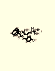 N=C(N)NCCC[C@H](C(N)=O)N(Cc1ccc(O)cc1)C(=O)CC12CC3CC(CC(C3)C1)C2